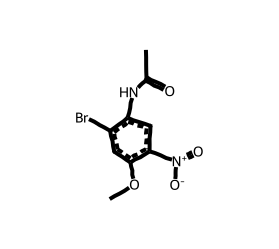 COc1cc(Br)c(NC(C)=O)cc1[N+](=O)[O-]